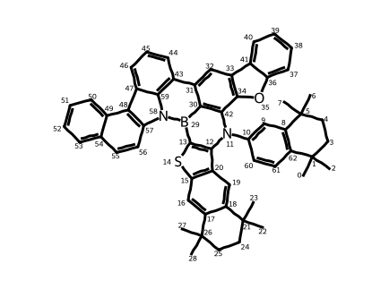 CC1(C)CCC(C)(C)c2cc(N3c4c(sc5cc6c(cc45)C(C)(C)CCC6(C)C)B4c5c(cc6c(oc7ccccc76)c53)-c3cccc5c6c7ccccc7ccc6n4c35)ccc21